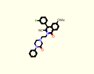 COc1ccc2c(=O)n(CCN3CCN(c4ccccc4)C(=O)C3)c(C#N)c(-c3cccc(F)c3)c2c1